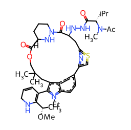 CCn1c(C2=C([C@H](C)OC)NCC=C2)c2c3cc(ccc31)-c1csc(n1)C[C@H](NNC(=O)[C@H](C(C)C)N(C)C(C)=O)C(=O)N1CCC[C@H](N1)C(=O)OCC(C)(C)C2